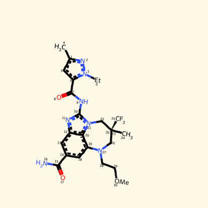 CCn1nc(C)cc1C(=O)Nc1nc2cc(C(N)=O)cc3c2n1C[C@@](C)(C(F)(F)F)CN3CCOC